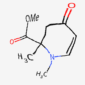 COC(=O)C1(C)CC(=O)C=CN1C